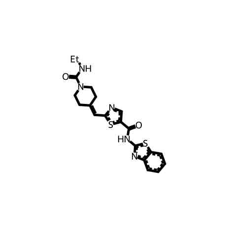 CCNC(=O)N1CCC(=Cc2ncc(C(=O)Nc3nc4ccccc4s3)s2)CC1